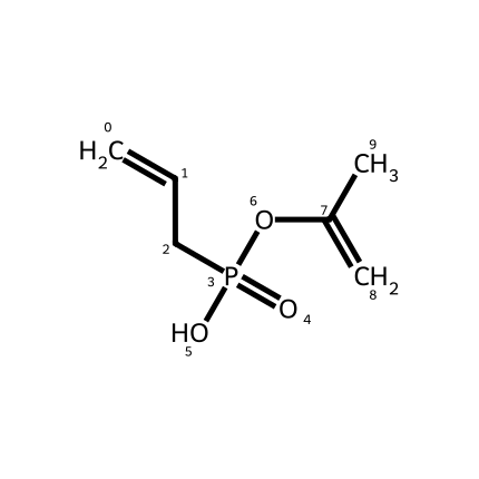 C=CCP(=O)(O)OC(=C)C